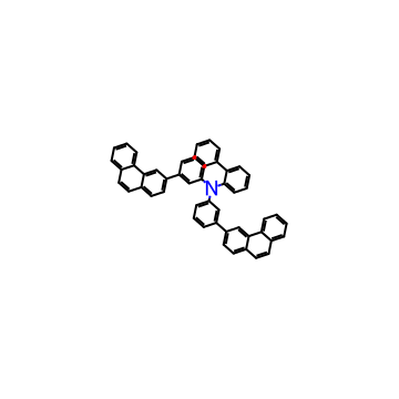 c1ccc(-c2ccccc2N(c2cccc(-c3ccc4ccc5ccccc5c4c3)c2)c2cccc(-c3ccc4ccc5ccccc5c4c3)c2)cc1